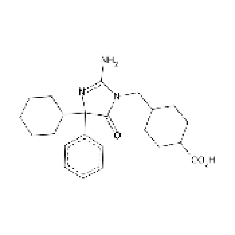 NC1=NC(c2ccccc2)(C2CCCCC2)C(=O)N1CC1CCC(C(=O)O)CC1